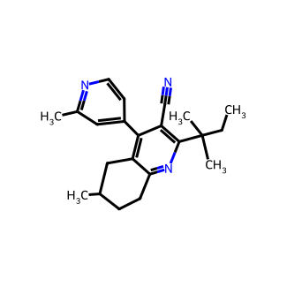 CCC(C)(C)c1nc2c(c(-c3ccnc(C)c3)c1C#N)CC(C)CC2